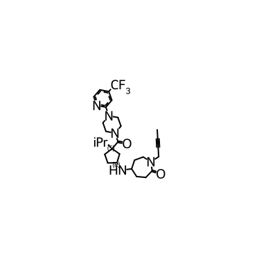 CC#CCN1CCC(N[C@@H]2CC[C@@](C(=O)N3CCN(c4cc(C(F)(F)F)ccn4)CC3)(C(C)C)C2)CCC1=O